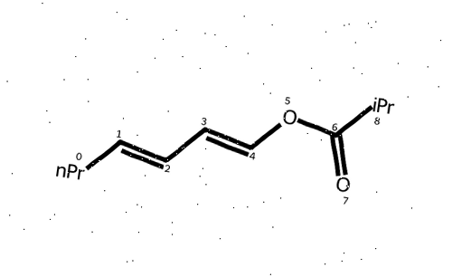 CCC/C=C/C=C/OC(=O)C(C)C